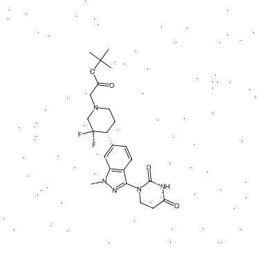 Cn1nc(N2CCC(=O)NC2=O)c2ccc([C@H]3CCN(CC(=O)OC(C)(C)C)CC3(F)F)cc21